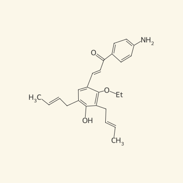 CC=CCc1cc(C=CC(=O)c2ccc(N)cc2)c(OCC)c(CC=CC)c1O